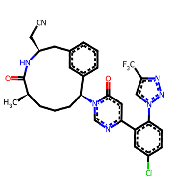 C[C@@H]1CCC[C@H](n2cnc(-c3cc(Cl)ccc3-n3cc(C(F)(F)F)nn3)cc2=O)c2cccc(c2)C[C@H](CC#N)NC1=O